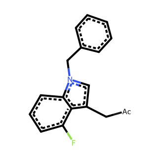 CC(=O)Cc1cn(Cc2ccccc2)c2cccc(F)c12